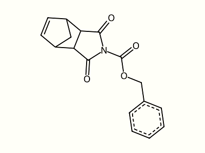 O=C(OCc1ccccc1)N1C(=O)C2C3C=CC(C3)C2C1=O